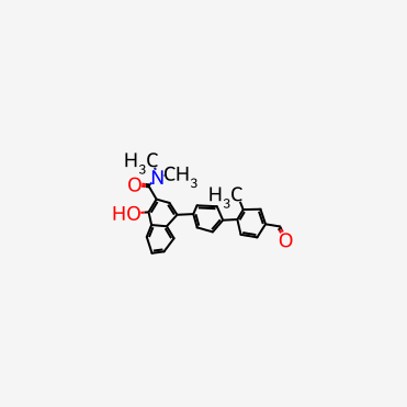 Cc1cc(C=O)ccc1-c1ccc(-c2cc(C(=O)N(C)C)c(O)c3ccccc23)cc1